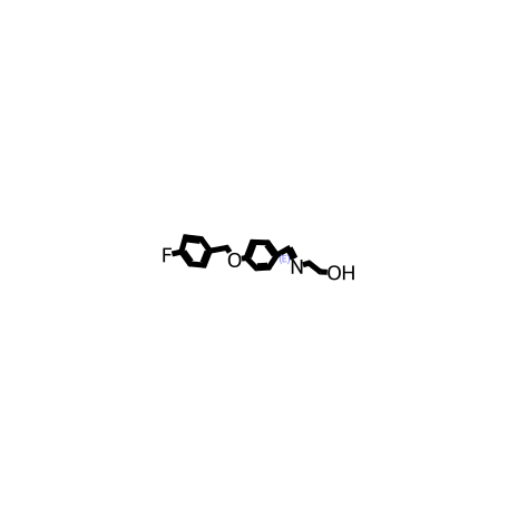 OCC/N=C/c1ccc(OCc2ccc(F)cc2)cc1